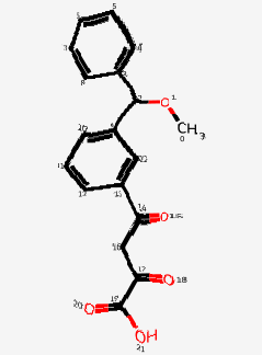 COC(c1ccccc1)c1cccc(C(=O)CC(=O)C(=O)O)c1